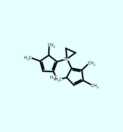 CC1=CC(C)[C]([Zr]2([C]3=C(C)C=C(C)C3C)[CH2][CH2]2)=C1C